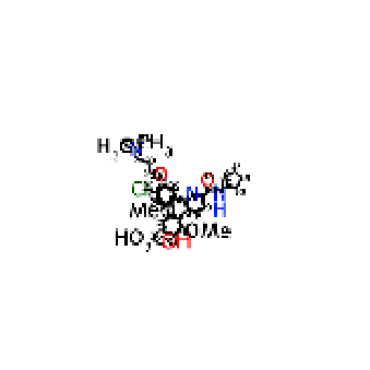 COc1cccc(OC)c1-c1ccc(C(=O)NC2CCCC2)nc1-c1ccc(Cl)c(OCCCN(C)C)c1.O=C(O)O